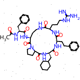 CC(=O)N[C@@H](Cc1ccccc1)C(=O)N[C@H]1CCNC(=O)C(CCCNC(=N)N)NC(=O)C(CCc2ccccc2)NC(=O)[C@@H](CC2CCCCC2)NC(=O)C2CCCN2C1=O